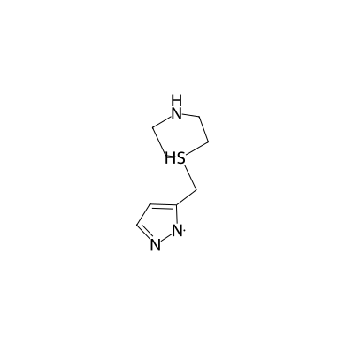 C1=N[N]C(C[SH]2CCNCC2)=C1